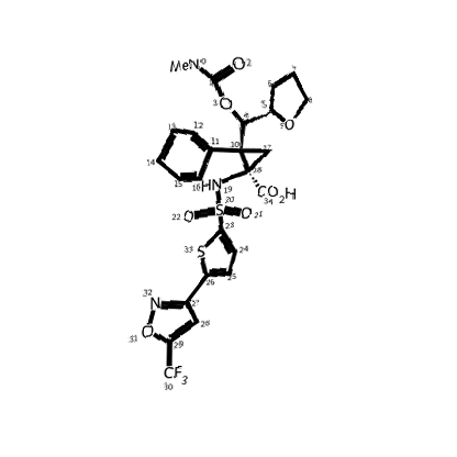 CNC(=O)OC([C@H]1CCCO1)[C@@]1(c2ccccc2)C[C@]1(NS(=O)(=O)c1ccc(-c2cc(C(F)(F)F)on2)s1)C(=O)O